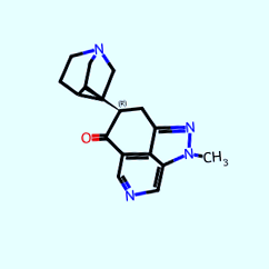 Cn1nc2c3c(cncc31)C(=O)[C@@H](C1CN3CCC1CC3)C2